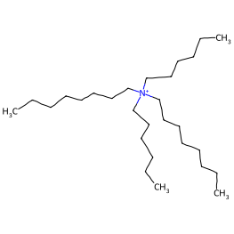 CCCCCCCC[N+](CCCCCC)(CCCCCC)CCCCCCCC